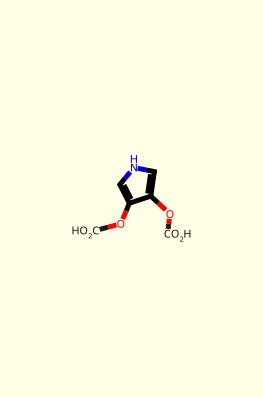 O=C(O)Oc1c[nH]cc1OC(=O)O